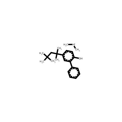 CC(C)(C)CC(C)(C)c1ccc(O)c(-c2ccccc2)c1.[CH3][Hf][CH3]